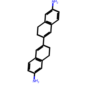 Nc1ccc2c(c1)CCC(C1=Cc3ccc(N)cc3CC1)=C2